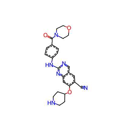 N#Cc1cc2cnc(Nc3ccc(C(=O)N4CCOCC4)cc3)nc2cc1OC1CCNCC1